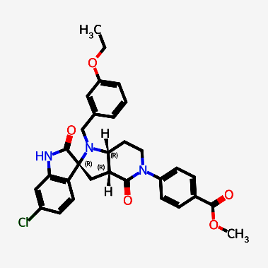 CCOc1cccc(CN2[C@@H]3CCN(c4ccc(C(=O)OC)cc4)C(=O)[C@@H]3C[C@@]23C(=O)Nc2cc(Cl)ccc23)c1